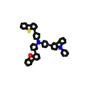 c1ccc(-n2c3ccccc3c3cc(-c4ccc(N(c5ccc(-c6cccc7c6sc6ccccc67)cc5)c5cccc(-c6cccc7c6oc6ccccc67)c5)cc4)ccc32)cc1